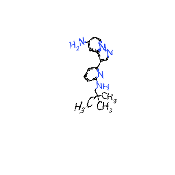 CC(C)(C)CNc1cccc(-c2cnn3ccc(N)cc23)n1